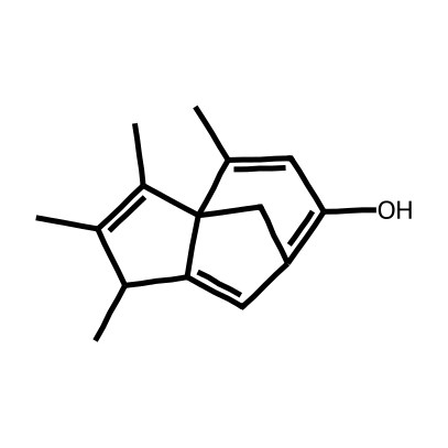 CC1=CC(O)=C2C=C3C(C)C(C)=C(C)C13C2